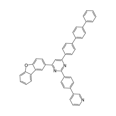 c1ccc(-c2ccc(-c3ccc(-c4cc(-c5ccc6oc7ccccc7c6c5)nc(-c5ccc(-c6cccnc6)cc5)n4)cc3)cc2)cc1